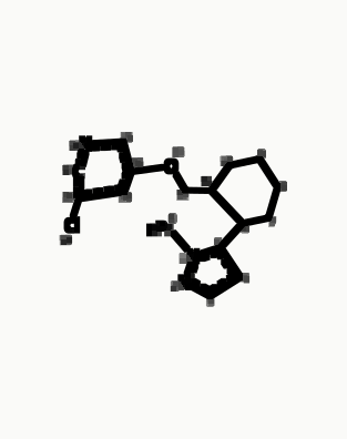 CCCn1nccc1C1CCCCC1COc1cncc(Cl)c1